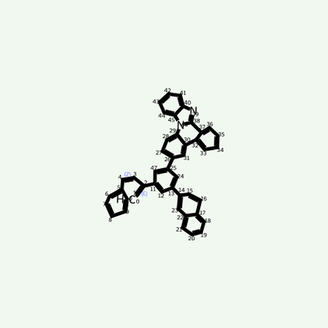 C/C=C(\C=C/c1ccccc1)c1cc(-c2ccc3ccccc3c2)cc(-c2ccc3c(c2)c2ccccc2c2nc4ccccc4n32)c1